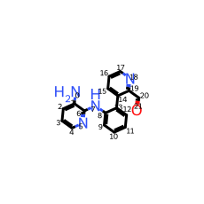 Nc1cccnc1Nc1ccccc1-c1cccnc1C=O